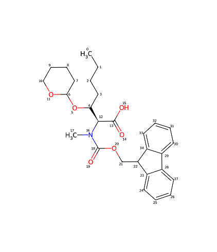 CCCCC(OC1CCCCO1)[C@@H](C(=O)O)N(C)C(=O)OCC1c2ccccc2-c2ccccc21